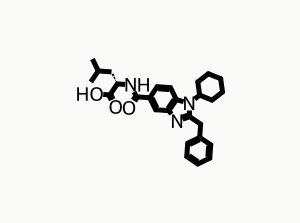 CC(C)C[C@H](NC(=O)c1ccc2c(c1)nc(Cc1ccccc1)n2C1CCCCC1)C(=O)O